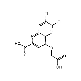 O=C(O)COc1cc(C(=O)O)nc2cc(Cl)c(Cl)cc12